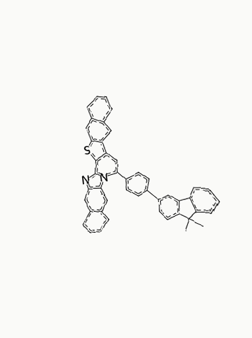 CC1(C)c2ccccc2-c2cc(-c3ccc(-c4cc5c6cc7ccccc7cc6sc5c5nc6cc7ccccc7cc6n45)cc3)ccc21